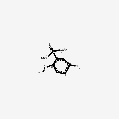 COP(=O)(OC)c1cc(C)ccc1OC(C)(C)C